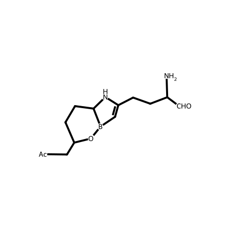 CC(=O)CC1CCC2NC(CCC(N)C=O)=CB2O1